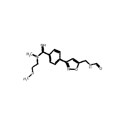 COCCN(C)C(=N)c1ccc(-c2cc(CNC=O)on2)cc1